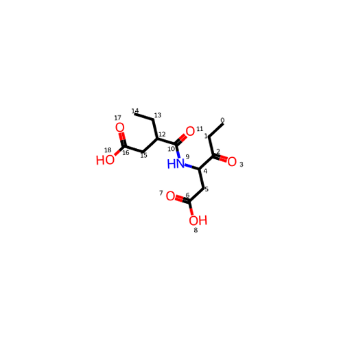 CCC(=O)C(CC(=O)O)NC(=O)C(CC)CC(=O)O